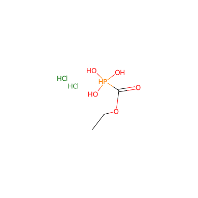 CCOC(=O)[PH](O)(O)O.Cl.Cl